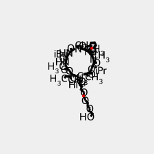 C/C=C(\C)[C@H]1OC(=O)[C@@H](C)NC(=O)[C@H](C(C)CC)NC(=O)CN(C)C(=O)[C@@H](Cc2ccccc2)N(C)C(=O)[C@H](C)NC(=O)[C@@H](CC(C)C)OC(=O)/C(C)=C/C[C@H](CC(=O)NCCOCCOCCOCCO)[C@@H]1C